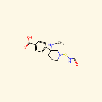 CNC1(c2ccc(C(=O)O)cc2)CCCN(SNC=O)C1